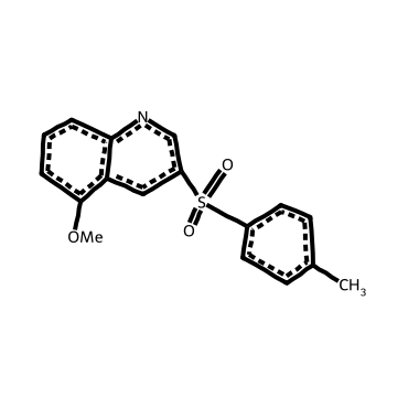 COc1cccc2ncc(S(=O)(=O)c3ccc(C)cc3)cc12